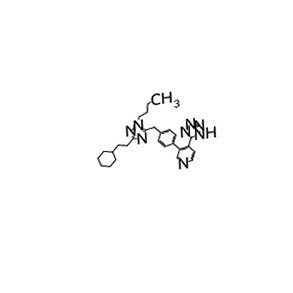 CCCCn1nc(CCC2CCCCC2)nc1Cc1ccc(-c2cnccc2-c2nnn[nH]2)cc1